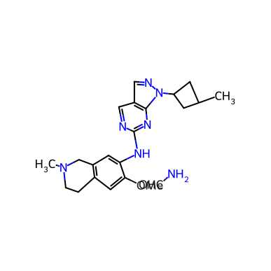 COc1cc2c(cc1Nc1ncc3cnn(C4CC(C)C4)c3n1)CN(C)CC2.NC=O